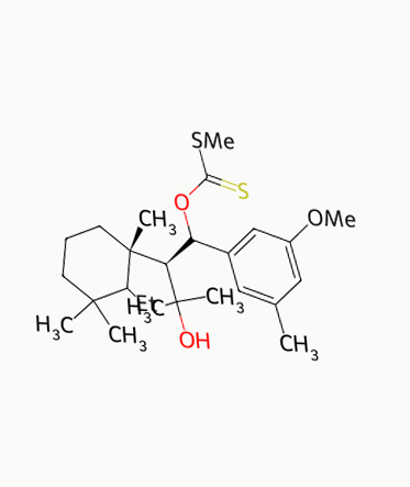 CCC1C(C)(C)CCC[C@]1(C)[C@@H](C(OC(=S)SC)c1cc(C)cc(OC)c1)C(C)(C)O